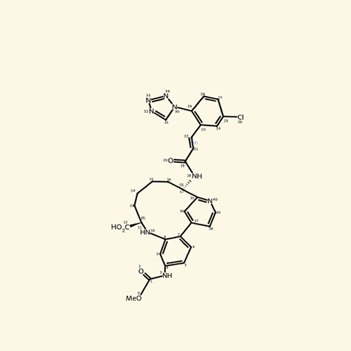 COC(=O)Nc1ccc2c(c1)N[C@@H](C(=O)O)CCCC[C@H](NC(=O)/C=C/c1cc(Cl)ccc1-n1cnnn1)c1cc-2ccn1